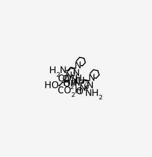 Nc1cc(N2CCCCC2)nc(N)[n+]1[O-].Nc1cc(N2CCCCC2)nc(N)[n+]1[O-].O=C(O)C(O)C(O)C(=O)O